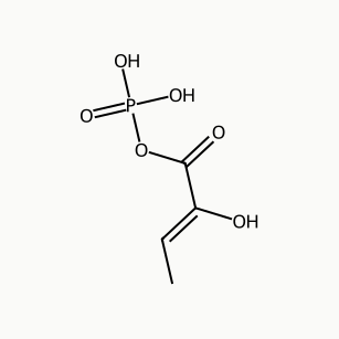 CC=C(O)C(=O)OP(=O)(O)O